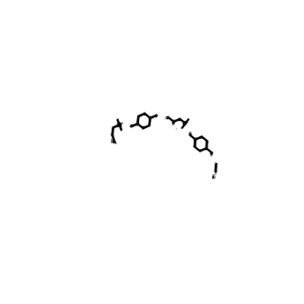 CC(C)(CC(O)COCC1CCC(COC(C)(C)CC2CO2)CC1)OCC1CCC(COCC2OO2)CC1